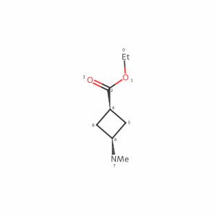 CCOC(=O)[C@H]1C[C@@H](NC)C1